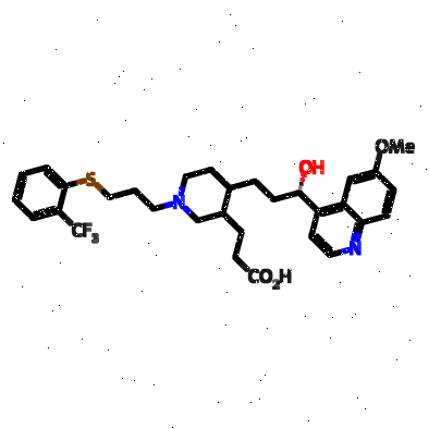 COc1ccc2nccc([C@@H](O)CCC3CCN(CCCSc4ccccc4C(F)(F)F)CC3CCC(=O)O)c2c1